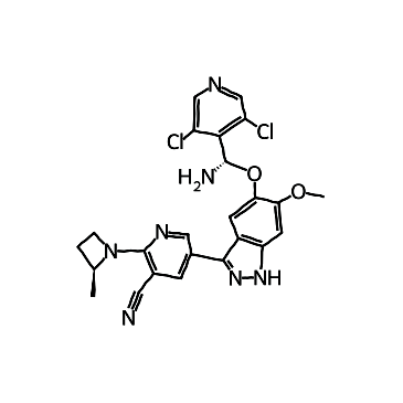 COc1cc2[nH]nc(-c3cnc(N4CC[C@@H]4C)c(C#N)c3)c2cc1O[C@H](N)c1c(Cl)cncc1Cl